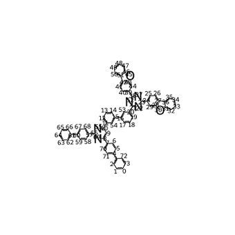 c1ccc(-c2ccc(-c3cc(-c4cccc(-c5cccc(-c6nc(-c7ccc8c(c7)oc7ccccc78)nc(-c7ccc8c(c7)oc7ccccc78)n6)c5)c4)nc(-c4ccc(-c5ccccc5)cc4)n3)cc2)cc1